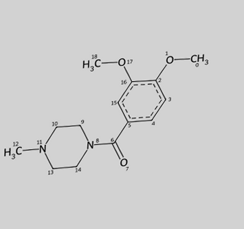 COc1ccc(C(=O)N2CCN(C)CC2)cc1OC